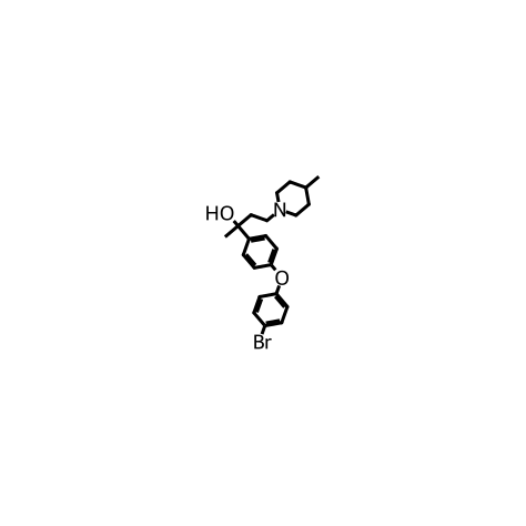 CC1CCN(CCC(C)(O)c2ccc(Oc3ccc(Br)cc3)cc2)CC1